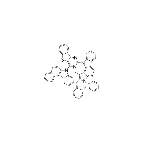 C=c1cccc/c1=C/c1c(C)c2c3c(cc4c5ccccc5n1c42)c1ccccc1n3-c1nc(-n2c3ccccc3c3c4ccccc4ccc32)c2sc3ccccc3c2n1